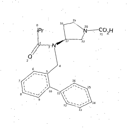 CC(C)C(=O)N(Cc1ccccc1-c1ccccc1)[C@H]1CCN(C(=O)O)C1